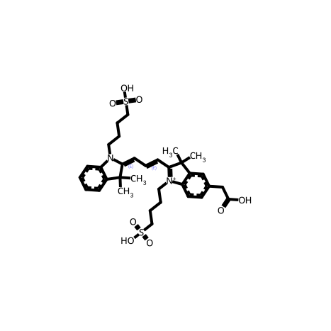 CC1(C)C(/C=C/C=C2/N(CCCCS(=O)(=O)O)c3ccccc3C2(C)C)=[N+](CCCCS(=O)(=O)O)c2ccc(CC(=O)O)cc21